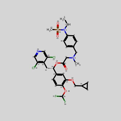 CBN(c1ccc(CN(C)CC(=O)O[C@@H](Cc2c(Cl)cncc2Cl)c2ccc(OC(F)F)c(OCC3CC3)c2)cc1)S(C)(=O)=O